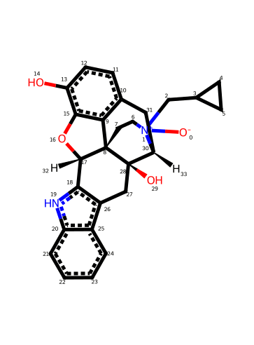 [O-][N+]1(CC2CC2)CC[C@]23c4c5ccc(O)c4O[C@H]2c2[nH]c4ccccc4c2C[C@@]3(O)[C@H]1C5